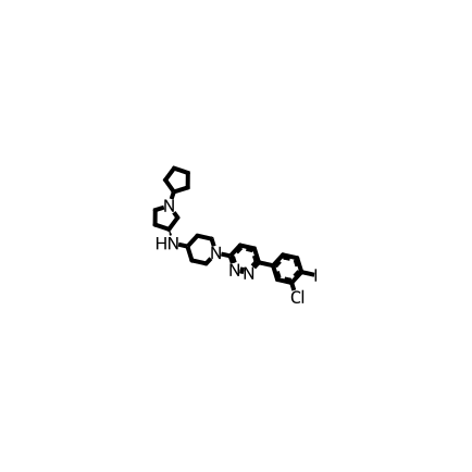 Clc1cc(-c2ccc(N3CCC(N[C@@H]4CCN(C5CCCC5)C4)CC3)nn2)ccc1I